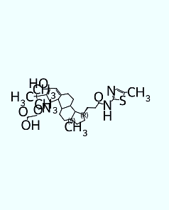 Cc1cnc(NC(=O)CC[C@H]2CC[C@@]3(C)CCC4C5C(=CC(O)=C(C(C)(C)C)C5=NOCC(=O)O)CCC4C23)s1